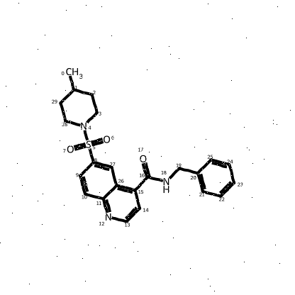 CC1CCN(S(=O)(=O)c2ccc3nccc(C(=O)NCc4ccccc4)c3c2)CC1